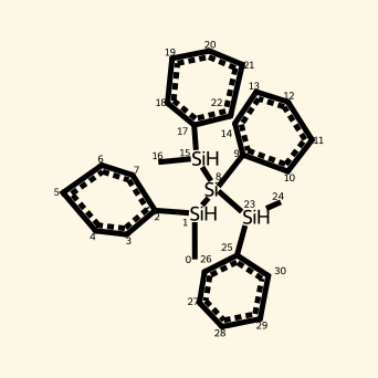 C[SiH](c1ccccc1)[Si](c1ccccc1)([SiH](C)c1ccccc1)[SiH](C)c1ccccc1